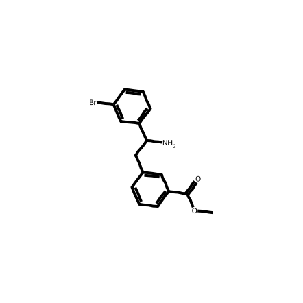 COC(=O)c1cccc(CC(N)c2cccc(Br)c2)c1